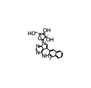 C[C@@]1(O)[C@H](O)[C@@H](CO)O[C@H]1n1cc(-c2ccc3ccccc3c2)c2c(N)ncnc21